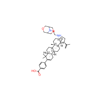 C=C(C)[C@@H]1CC[C@]2(NCCN3C4COCC3COC4)CC[C@]3(C)[C@H](CC[C@@H]4[C@@]5(C)CC=C(c6ccc(C(=O)O)cc6)C(C)(C)[C@@H]5CC[C@]43C)[C@@H]12